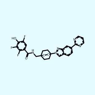 O=C(NCC12CCC(n3cc4ccc(-c5ncccn5)cc4n3)(CC1)CC2)c1cc(F)c(O)c(F)c1F